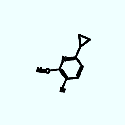 COc1nc(C2CC2)ccc1Br